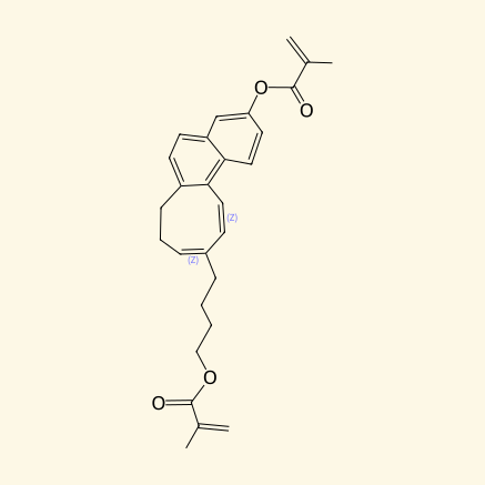 C=C(C)C(=O)OCCCCC1=C/CCc2ccc3cc(OC(=O)C(=C)C)ccc3c2/C=C\1